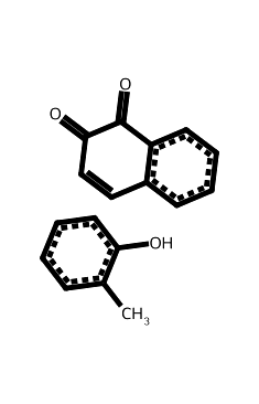 Cc1ccccc1O.O=C1C=Cc2ccccc2C1=O